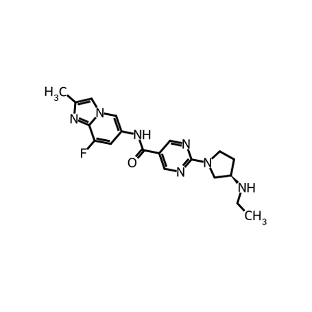 CCN[C@@H]1CCN(c2ncc(C(=O)Nc3cc(F)c4nc(C)cn4c3)cn2)C1